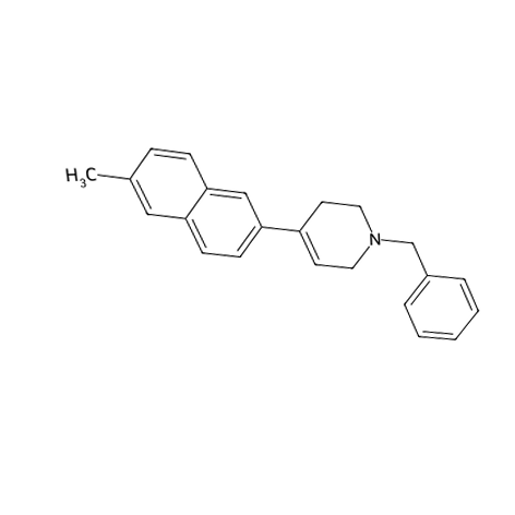 Cc1ccc2cc(C3=CCN(Cc4ccccc4)CC3)ccc2c1